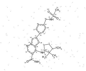 CC1CC[C@@H](Nc2c(C(N)=O)cnn3cc(-c4ccc(CNS(C)(=O)=O)cc4)cc23)C1(C)C